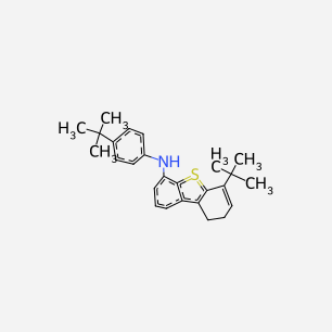 CC(C)(C)C1=CCCc2c1sc1c(Nc3ccc(C(C)(C)C)cc3)cccc21